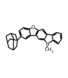 Cn1c2ccccc2c2cc3oc4ccc(C56CC7CC(CC(C7)C5)C6)cc4c3cc21